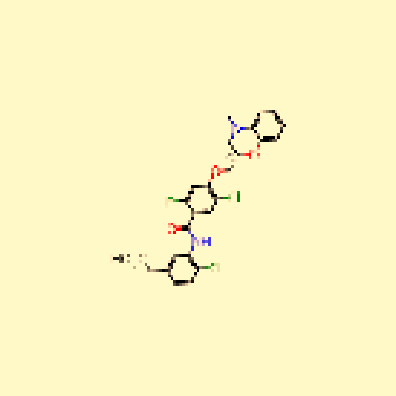 CN1C[C@@H](COc2cc(F)c(C(=O)Nc3cc(CC(=O)O)ccc3Cl)cc2Cl)Oc2ccccc21